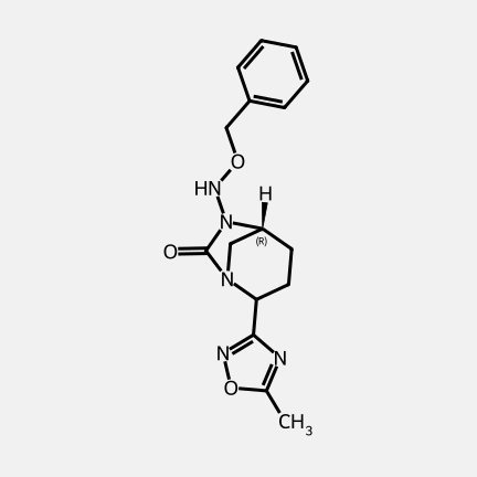 Cc1nc(C2CC[C@@H]3CN2C(=O)N3NOCc2ccccc2)no1